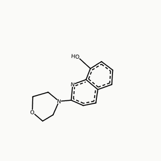 Oc1cccc2ccc(N3CCOCC3)nc12